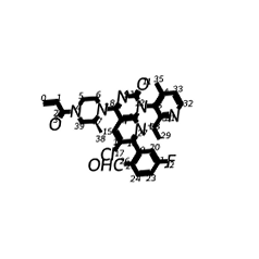 C=CC(=O)N1CCN(c2nc(=O)n3c4c2cc(Cl)c(-c2cc(F)ccc2C=O)[n+]4C(C)c2nccc(C)c2-3)[C@@H](C)C1